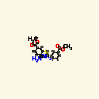 COC(=O)c1cccc(SSC2=CC(C(=O)OC)C=CC2(N)N)c1